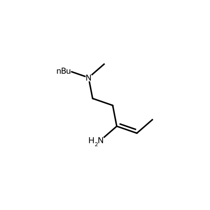 C/C=C(/N)CCN(C)CCCC